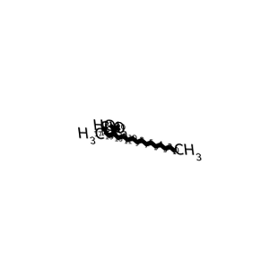 CCCCCCCCCCCCCCC(CC(C)C)C(=O)O